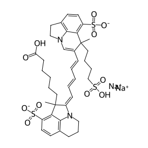 CC1(CCCCS(=O)(=O)O)C(C=CC=CC=C2N3CCCc4ccc(S(=O)(=O)[O-])c(c43)C2(C)CCCCCC(=O)O)=CN2CCc3ccc(S(=O)(=O)[O-])c1c32.[Na+].[Na+]